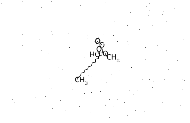 CCCCCCCCCCCCCCCC(CCOc1ccccc1)(OCC)C(=O)O